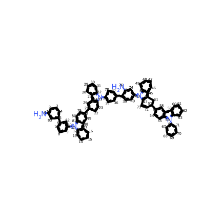 Nc1cccc(-c2cccc(-n3c4ccccc4c4cc(-c5ccc6c(c5)c5ccccc5n6-c5ccc(-c6ccc(-n7c8c(c9ccccc97)CC(c7ccc9c(c7)c7ccccc7n9-c7ccccc7)C=C8)cc6N)cc5)ccc43)c2)c1